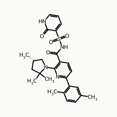 Cc1ccc(C)c(-c2ccc(C(=O)NS(=O)(=O)c3ccc[nH]c3=O)c(N3C[C@@H](C)CC3(C)C)n2)c1